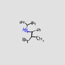 CC(C)C(C)C(NC(C(C)C)C(C)C)C(C)C